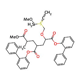 C=C=S(COC(CC(CC(C)C(=O)OC)C(=O)Oc1ccccc1-c1ccccc1)C(=O)Oc1ccccc1-c1ccccc1)[SiH2]OC